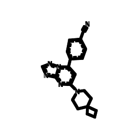 N#Cc1ccc(-c2cc(N3CCC4(CCC4)CC3)nc3ncnn23)cc1